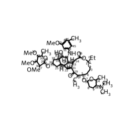 CC[C@H]1CCC[C@H](O[C@H]2CC[C@H](N(C)C)C(C)O2)[C@@H](C)C(=O)C2=C[C@H]3[C@@H]4C[C@H](O[C@@H]5OC(C)[C@H](OC)C(OC)C5OC)C[C@H]4[C@@H](O)[C@H](Nc4cc(C)cc(OC)c4)[C@H]3[C@@H]2CC(=O)O1